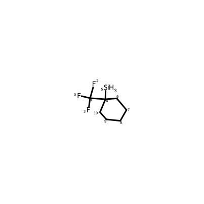 FC(F)(F)C1([SiH3])CCCCC1